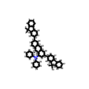 CC1(C)c2ccccc2-c2ccc(-c3ccc4cc5c(N(c6ccccc6)c6ccccc6)cc(-c6ccc7c(c6)C(C)(C)c6ccccc6-7)cc5cc4c3)cc21